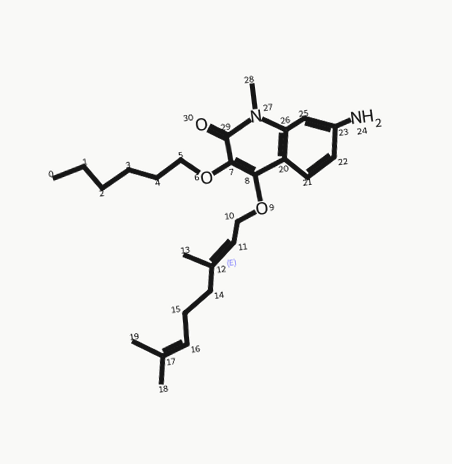 CCCCCCOc1c(OC/C=C(\C)CCC=C(C)C)c2ccc(N)cc2n(C)c1=O